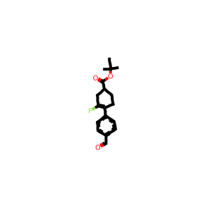 CC(C)(C)OC(=O)C1CCC(c2ccc(C=O)cc2)=C(F)C1